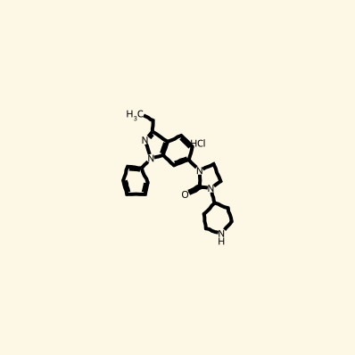 CCc1nn(-c2ccccc2)c2cc(N3CCN(C4CCNCC4)C3=O)ccc12.Cl